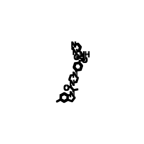 Cc1ccc2c(c1)CCN2C(C)C(=O)N1CCN(c2ccc(S(=O)(=O)Nc3ccncn3)cc2)CC1